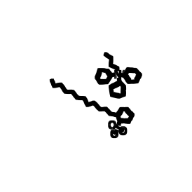 CCCCCCCCCCCCc1ccccc1S(=O)(=O)[O-].CCCC[N+](c1ccccc1)(c1ccccc1)c1ccccc1